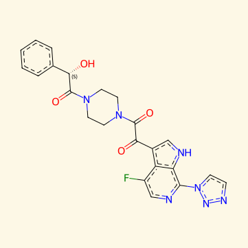 O=C(C(=O)N1CCN(C(=O)[C@@H](O)c2ccccc2)CC1)c1c[nH]c2c(-n3ccnn3)ncc(F)c12